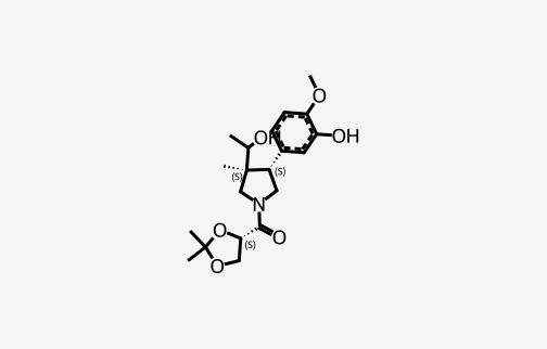 COc1ccc([C@@H]2CN(C(=O)[C@@H]3COC(C)(C)O3)C[C@@]2(C)C(C)O)cc1O